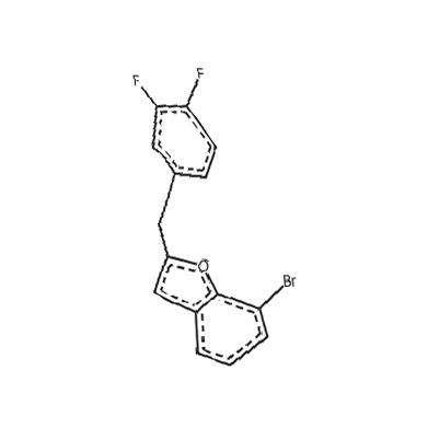 Fc1ccc(Cc2cc3cccc(Br)c3o2)cc1F